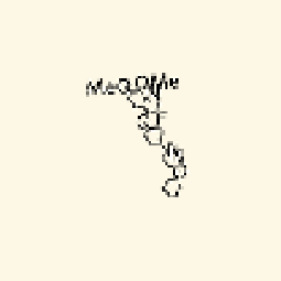 COc1ccc2c(Oc3ccc(-c4ccc(Oc5ccccc5)nn4)cc3F)ccnc2c1OC